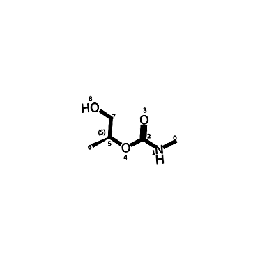 CNC(=O)O[C@@H](C)CO